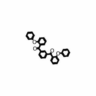 O=C(c1cccc(C(=O)c2ccccc2Oc2ccccc2)c1)c1ccccc1Oc1ccccc1